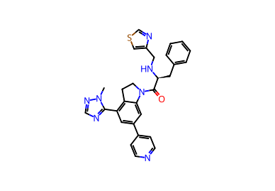 Cn1ncnc1-c1cc(-c2ccncc2)cc2c1CCN2C(=O)[C@H](Cc1ccccc1)NCc1cscn1